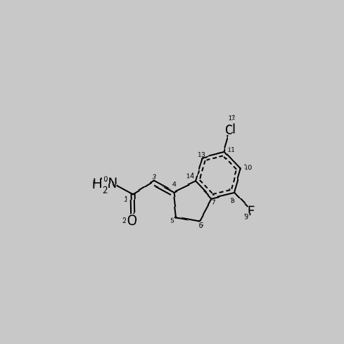 NC(=O)C=C1CCc2c(F)cc(Cl)cc21